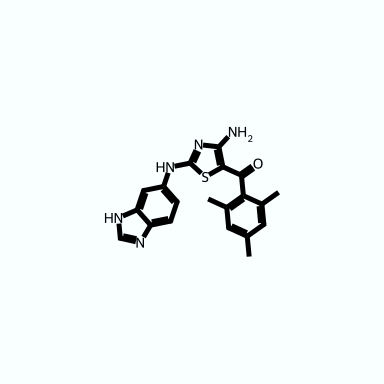 Cc1cc(C)c(C(=O)c2sc(Nc3ccc4nc[nH]c4c3)nc2N)c(C)c1